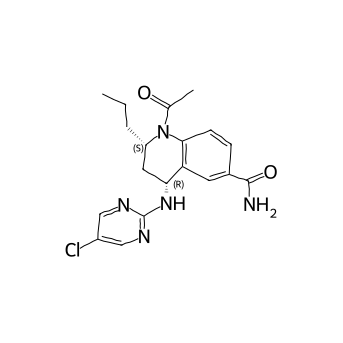 CCC[C@H]1C[C@@H](Nc2ncc(Cl)cn2)c2cc(C(N)=O)ccc2N1C(C)=O